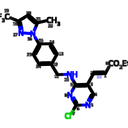 CCOC(=O)/C=C/c1cnc(Cl)nc1NCc1ccc(-n2nc(C(F)(F)F)cc2C)cc1